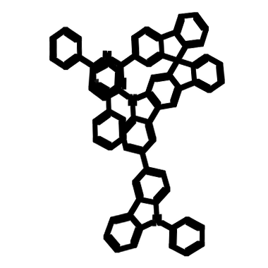 c1ccc(-c2nc(-c3ccccc3)nc(-c3ccc4c(c3)C3(c5ccccc5-4)c4ccccc4-c4cc5c6cc(-c7ccc8c(c7)c7ccccc7n8-c7ccccc7)ccc6n(-c6ccccc6)c5cc43)n2)cc1